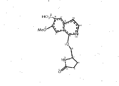 COc1cc2c(OCC3CCC(=O)N3)nccc2cc1C(=O)O